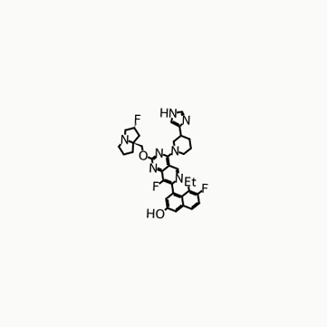 CCc1c(F)ccc2cc(O)cc(-c3ncc4c(N5CCCC(c6c[nH]cn6)C5)nc(OC[C@@]56CCCN5C[C@H](F)C6)nc4c3F)c12